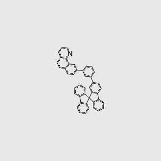 c1cc(-c2ccc3c(c2)C2(c4ccccc4-c4ccccc42)c2ccccc2-3)cc(-c2ccc3ccc4cccnc4c3c2)c1